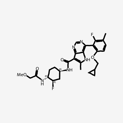 COCC(=O)N[C@@H]1CC[C@@H](NC(=O)c2c(C)[nH]c3c(-c4c(OCC5CC5)ccc(C)c4F)ncnc23)C[C@H]1F